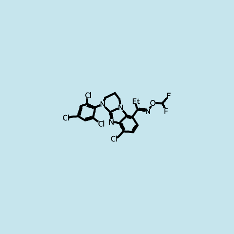 CC/C(=N\OC(F)F)c1ccc(Cl)c2nc3n(c12)CCCN3c1c(Cl)cc(Cl)cc1Cl